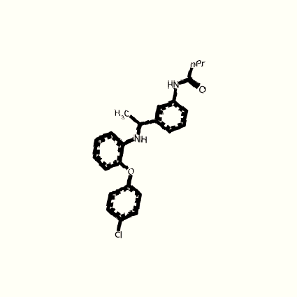 CCCC(=O)Nc1cccc(C(C)Nc2ccccc2Oc2ccc(Cl)cc2)c1